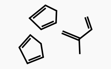 C1=CCC=C1.C1=CCC=C1.C=CC(=C)C